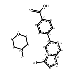 CN1CCOCC1.O=C(O)c1ccc(-c2cn3c(I)cnc3cn2)cc1